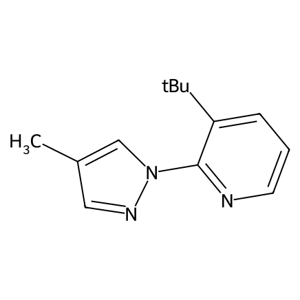 Cc1cnn(-c2ncccc2C(C)(C)C)c1